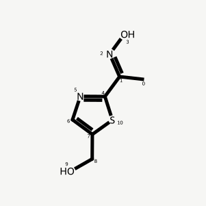 C/C(=N\O)c1ncc(CO)s1